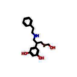 OCSCC(CNCCc1ccccc1)c1cc(O)cc(O)c1